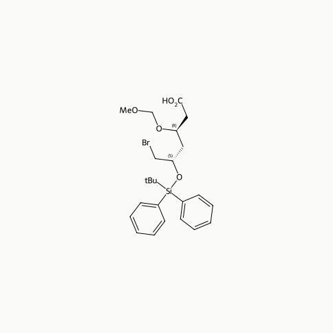 COCO[C@@H](CC(=O)O)C[C@@H](CBr)O[Si](c1ccccc1)(c1ccccc1)C(C)(C)C